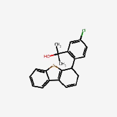 CC(C)(O)c1cc(Cl)ccc1C1CC=Cc2c1sc1ccccc21